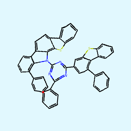 c1ccc(-c2nc(-c3cc(-c4ccccc4)c4c(c3)sc3ccccc34)nc(-n3c4c(-c5ccccc5)cccc4c4ccc5c6ccccc6sc5c43)n2)cc1